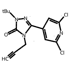 C#CCn1c(-c2cc(Cl)nc(Cl)c2)nn(C(C)(C)C)c1=O